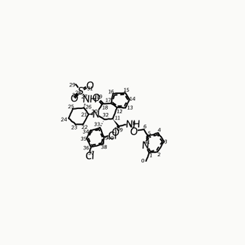 Cc1cccc(CONC(=O)[C@@H]2c3ccccc3C(=O)N([C@H]3CCCC[C@@H]3NS(C)(=O)=O)[C@H]2c2ccc(Cl)cc2Cl)n1